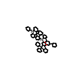 c1ccc(-c2cccc(-c3ccccc3N(c3ccc4c(c3)C(c3ccccc3)(c3ccccc3)c3ccccc3-4)c3cccc4c3-c3ccccc3C43c4ccccc4N(c4ccccc4)c4ccccc43)c2)cc1